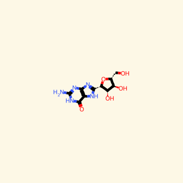 Nc1nc2nc([C@@H]3O[C@H](CO)[C@@H](O)[C@@H]3O)[nH]c2c(=O)[nH]1